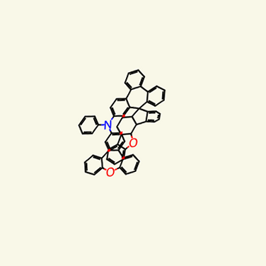 c1ccc(N(c2ccc3c(c2)-c2ccccc2Oc2ccccc2-3)c2ccc3c(c2)C2(c4ccccc4-c4ccccc4-3)c3ccccc3C3C4Oc5ccccc5C4CCC32)cc1